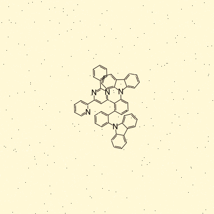 c1ccc(-c2nc(-c3ccccn3)cc(-c3c(-c4ccccc4-n4c5ccccc5c5ccccc54)cccc3-n3c4ccccc4c4ccccc43)n2)cc1